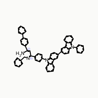 N/C(=C\C(=N/Cc1ccccc1)c1ccc(-n2c3ccccc3c3cc(-c4ccc5c(c4)c4ccccc4n5-c4ccccc4)ccc32)cc1)c1ccc(-c2ccccc2)cc1